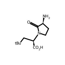 CC(C)(C)C[C@H](C(=O)O)N1CC[C@H](N)C1=O